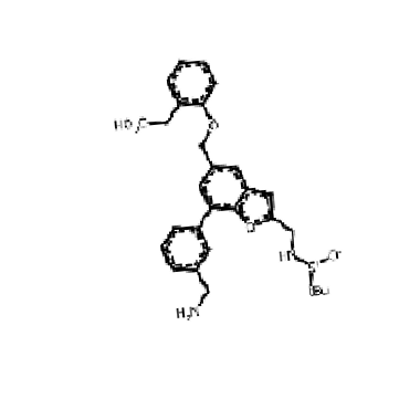 CC(C)(C)[S+]([O-])NCc1cc2cc(COc3ccccc3CC(=O)O)cc(-c3cccc(CN)c3)c2o1